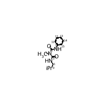 CC(C)CNC(=O)N(C)C(=O)Nc1ccccc1